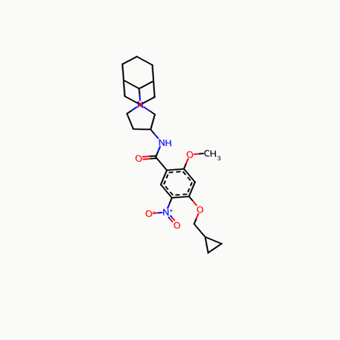 COc1cc(OCC2CC2)c([N+](=O)[O-])cc1C(=O)NC1CCN(C2C3CCCC2CCC3)C1